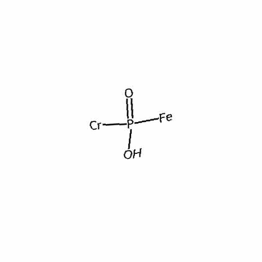 O=[P](O)([Cr])[Fe]